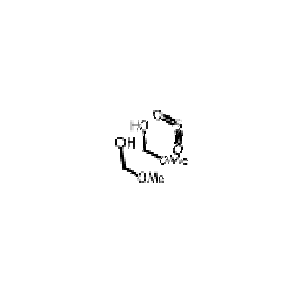 COCO.COCO.O=S=O